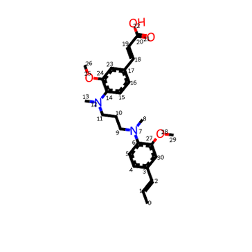 C/C=C/c1ccc(N(C)CCCN(C)c2ccc(/C=C/C(=O)O)cc2OC)c(OC)c1